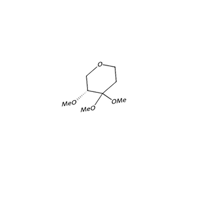 CO[C@@H]1COCCC1(OC)OC